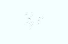 c1ccc(-c2nc(-c3ccc4ccc5c6ccccc6ccc5c4c3)nc(-c3cc(-c4ccccc4-c4ccccc4)cc4oc5ccccc5c34)n2)cc1